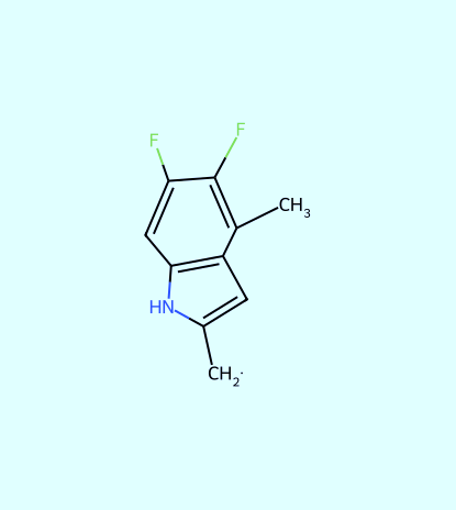 [CH2]c1cc2c(C)c(F)c(F)cc2[nH]1